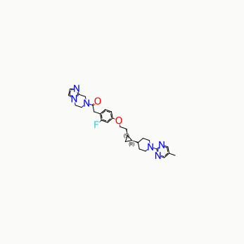 Cc1cnc(N2CCC([C@H]3C[C@H]3CCOc3ccc(CC(=O)N4CCn5ccnc5C4)c(F)c3)CC2)nc1